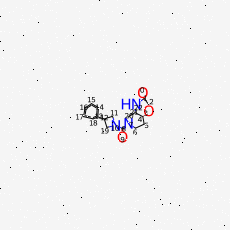 O=C1COC2CCN(C(=O)N3CC(c4ccccc4)C3)CC2N1